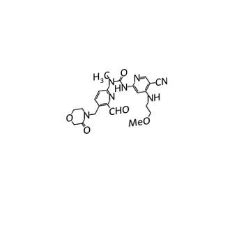 COCCNc1cc(NC(=O)N(C)c2ccc(CN3CCOCC3=O)c(C=O)n2)ncc1C#N